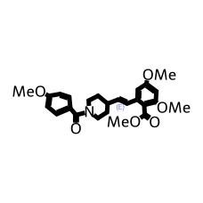 COC(=O)c1c(/C=C/C2CCN(C(=O)c3ccc(OC)cc3)CC2)cc(OC)cc1OC